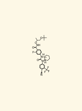 CC(COC(C)(C)C)ONC(=O)c1ccc(N2C(=O)N(c3ccc(C#N)c(C(F)(F)F)c3)[C@H]3CCCC[C@@H]32)cc1F